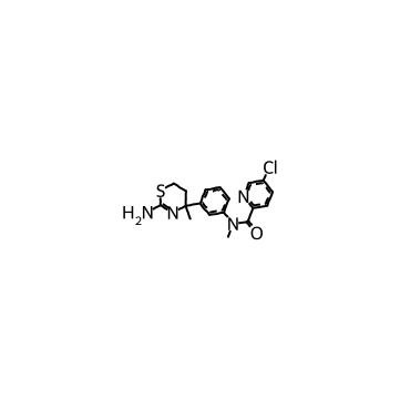 CN(C(=O)c1ccc(Cl)cn1)c1cccc(C2(C)CCSC(N)=N2)c1